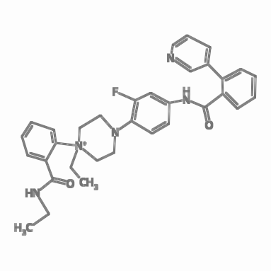 CCNC(=O)c1ccccc1[N+]1(CC)CCN(c2ccc(NC(=O)c3ccccc3-c3cccnc3)cc2F)CC1